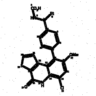 CCC(NC(=O)O)c1ccc(-c2c(OC)cc(Cl)c3[nH]c(=O)c4sccc4c23)cc1